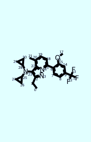 CCc1nn2c(-c3ccc(C(F)(F)F)cc3OC)ccc(C)c2c1N(C1CC1)C1CC1